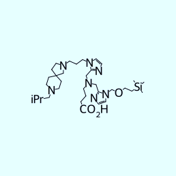 CC(C)CN1CCC2(CC1)CCN(CCCn1ccnc1CN(CCCC(=O)O)Cc1nccn1COCC[Si](C)(C)C)C2